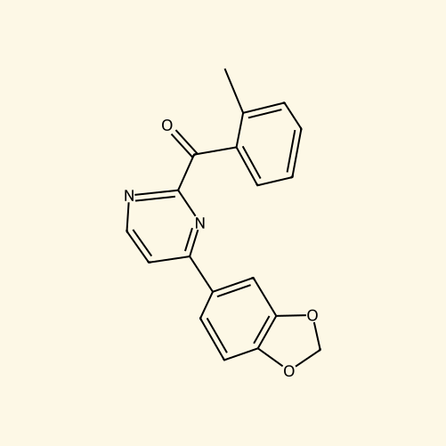 Cc1ccccc1C(=O)c1nccc(-c2ccc3c(c2)OCO3)n1